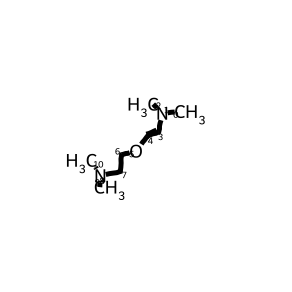 CN(C)C=COCCN(C)C